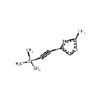 Cc1nc(C#C[Si](C)(C)C)cs1